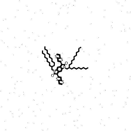 CCCCCCCCCCC(CCCCCCCC)CN1C(=O)C(c2cc3sccc3s2)=c2cc3c(cc21)=C(c1cc2sccc2s1)C(=O)N3CC(CCCCCCCC)CCCCCCCCCC